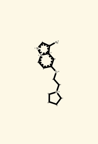 CC(=O)c1cnn2ccc(OCCN3CCCC3)cc12